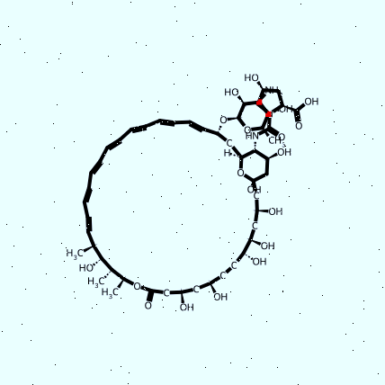 C[C@@H]1[C@H](O)[C@@H](C)/C=C/C=C/C=C/C=C/C=C/C=C/C=C/[C@H](O[C@@H]2O[C@H](C)[C@@H](O)[C@H](N)[C@@H]2O)C[C@@H]2O[C@](O)(C[C@@H](O)C[C@@H](O)[C@H](O)CC[C@@H](O)C[C@@H](O)CC(=O)O[C@H]1C)C[C@H](O)[C@H]2NC(=O)N1C[C@@H](O)C[C@H]1C(=O)O